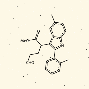 COC(=O)C(CCC=O)c1c(-c2ccccc2C)nc2ccc(C)cn12